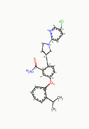 CC(C)c1ccccc1Oc1ccc(C2CCN(c3ccc(Cl)cn3)C2)c(C(N)=O)c1